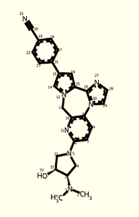 CN(C)[C@@H]1CN(c2ccc3c(n2)Cn2cc(-c4ccc(C#N)cc4)cc2-c2nccn2-3)C[C@@H]1O